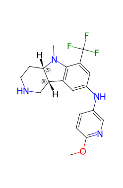 COc1ccc(Nc2cc3c(c(C(F)(F)F)c2)N(C)[C@H]2CCNC[C@@H]32)cn1